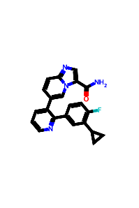 NC(=O)c1cnc2ccc(-c3cccnc3-c3ccc(F)c(C4CC4)c3)cn12